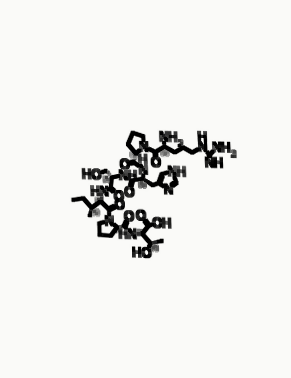 CC[C@H](C)[C@H](NC(=O)[C@H](CO)NC(=O)[C@H](Cc1c[nH]cn1)NC(=O)[C@@H]1CCCN1C(=O)[C@@H](N)CCCNC(=N)N)C(=O)N1CCC[C@H]1C(=O)N[C@H](C(=O)O)[C@@H](C)O